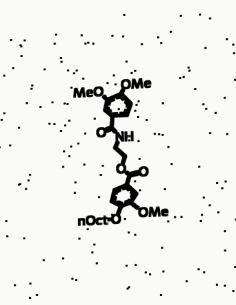 CCCCCCCCOc1ccc(C(=O)OCCNC(=O)c2ccc(OC)c(OC)c2)cc1OC